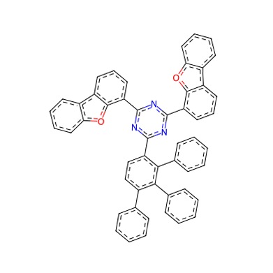 c1ccc(-c2ccc(-c3nc(-c4cccc5c4oc4ccccc45)nc(-c4cccc5c4oc4ccccc45)n3)c(-c3ccccc3)c2-c2ccccc2)cc1